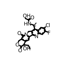 CC[C@@]1(O)C(=O)OCc2c1cc1n(c2=O)Cc2c-1nc1cc(F)c(Cl)cc1c2[C@H](C)NC(=O)CO